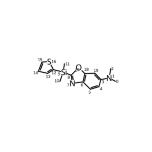 CN(C)c1ccc2nc([Si](C)(C)c3cccs3)oc2c1